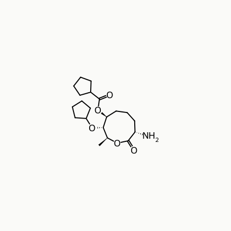 C[C@@H]1OC(=O)[C@@H](N)CCC[C@H](OC(=O)C2CCCC2)[C@H]1OC1CCCC1